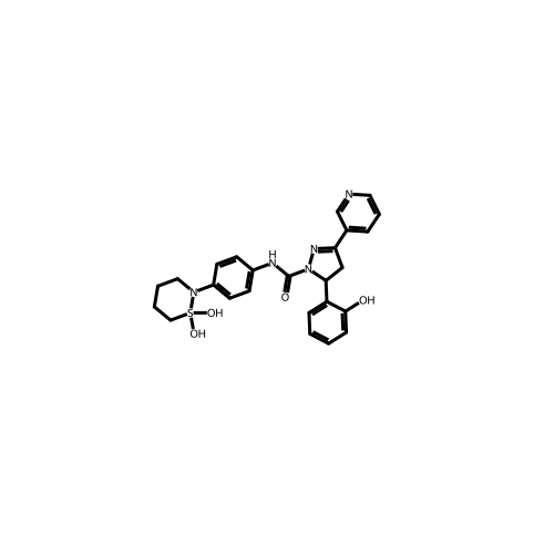 O=C(Nc1ccc(N2CCCCS2(O)O)cc1)N1N=C(c2cccnc2)CC1c1ccccc1O